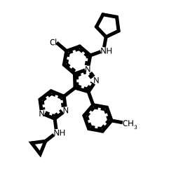 Cc1cccc(-c2nn3c(NC4CCCC4)cc(Cl)cc3c2-c2ccnc(NC3CC3)n2)c1